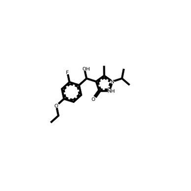 CCOc1ccc(C(O)c2c(C)n(C(C)C)[nH]c2=O)c(F)c1